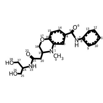 CN1c2cc(C(=O)Nc3ccccc3)ccc2OCC1CC(=O)NC(CO)CO